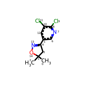 CC1(C)CC(c2cnc(Cl)c(Cl)c2)=NO1